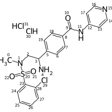 CN(CC(N)c1ccc(C(=O)Nc2ccncc2)cc1)S(=O)(=O)c1ccccc1Cl.Cl.Cl